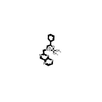 C[Si](C)(C)OC(CN=Cc1ncc2nccnc2n1)c1ccccc1